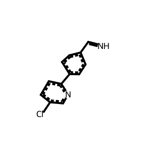 N=Cc1ccc(-c2ccc(Cl)cn2)cc1